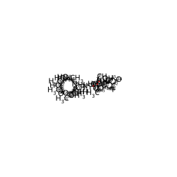 CCOC(=O)[C@@]1(OC(=O)CCNCCCN2C[C@]3(C)C[C@@]3(O)[C@H](O)[C@@H](C)[C@H](O)[C@@H](C)C(=O)O[C@H](CC)[C@@](C)(O)[C@H](O)[C@H]2C)[C@H](C)CC2C3C[C@H](F)C4=CC(=O)C=C[C@]4(C)[C@@]3(F)[C@@H](O)C[C@@]21C